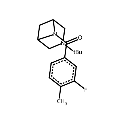 Cc1ccc(C(=O)N2C3CC2CN(C(C)(C)C)C3)cc1F